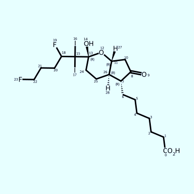 O=C(O)CCCCCC[C@H]1C(=O)C[C@H]2O[C@@](O)(C(I)(I)C(F)CCCF)CC[C@@H]21